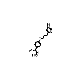 CCCC(=NO)c1ccc(OCCCc2c[nH]cn2)cc1